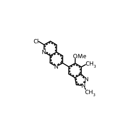 COc1c(-c2cc3ccc(Cl)nc3cn2)cc2cn(C)nc2c1C